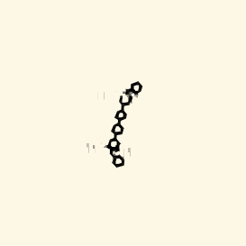 CC1(C)C=C(c2ccc(-c3ccc(C4=CC(C)(C)N(Cc5ccccc5)C(C)(C)C4)cc3)cc2)CC(C)(C)N1Cc1ccccc1